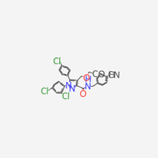 N#Cc1ccc(CNC(=O)c2nn(-c3ccc(Cl)cc3Cl)c(-c3ccc(Cl)cc3)c2COCC(=O)O)cc1